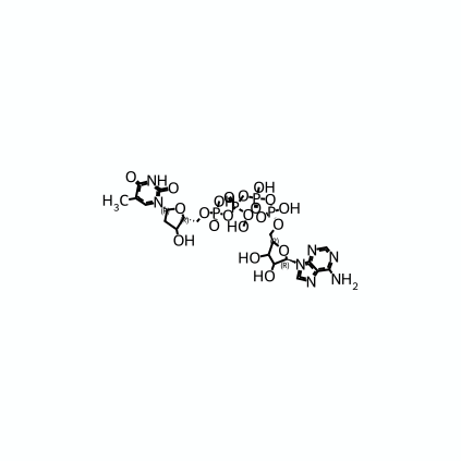 Cc1cn([C@H]2CC(O)[C@@H](COP(=O)(O)OP(=O)(OO)OP(=O)(O)OP(=O)(O)OC[C@H]3O[C@@H](n4cnc5c(N)ncnc54)C(O)C3O)O2)c(=O)[nH]c1=O